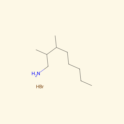 Br.CCCCCC(C)C(C)CN